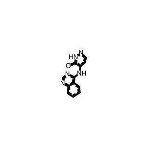 O=c1[nH]nccc1Nc1ncnc2ccccc12